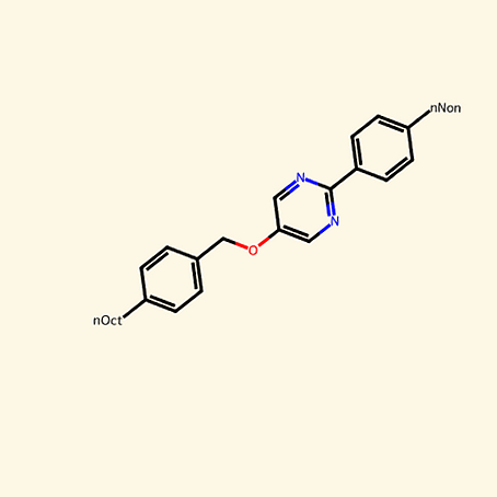 CCCCCCCCCc1ccc(-c2ncc(OCc3ccc(CCCCCCCC)cc3)cn2)cc1